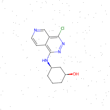 O[C@H]1CCC[C@@H](Nc2nnc(Cl)c3cnccc23)C1